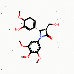 COc1cc(N2C(=O)[C@H](CO)[C@H]2C2=CCC(OC)C(O)=C2)cc(OC)c1OC